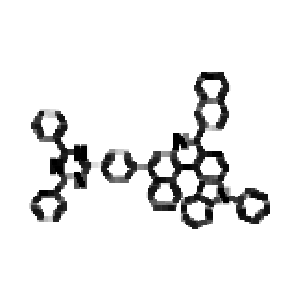 c1ccc(-c2nc(-c3ccccc3)nc(-c3ccc(-c4cc5nc(-c6ccc7ccccc7c6)c6ccc7c(c8ccccc8n7-c7ccccc7)c6c5c5ccccc45)cc3)n2)cc1